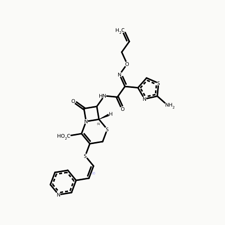 C=CCON=C(C(=O)NC1C(=O)N2C(C(=O)O)=C(S/C=C\c3cccnc3)CS[C@@H]12)c1csc(N)n1